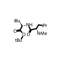 CC[C@H](C)[C@H](NC(=O)[C@H](CC(C)C)NC)C(=O)OC(C)(C)C